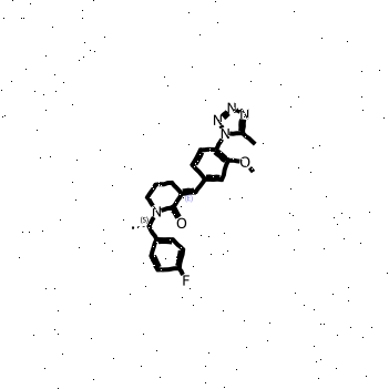 COc1cc(/C=C2\CCCN([C@@H](C)c3ccc(F)cc3)C2=O)ccc1-n1nnnc1C